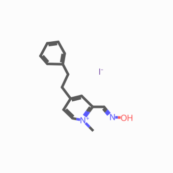 C[n+]1ccc(CCc2ccccc2)cc1C=NO.[I-]